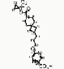 CC1(OC(=O)N2CCC3(CC2)CC(CCCOc2cnc(C(=O)O)cn2)C3)CC1